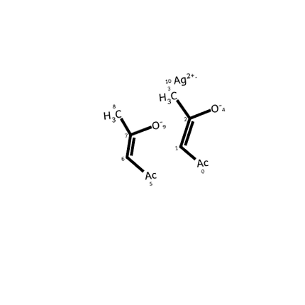 CC(=O)/C=C(/C)[O-].CC(=O)/C=C(/C)[O-].[Ag+2]